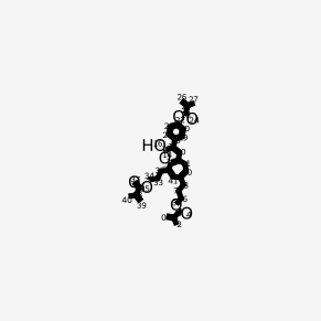 C=C(C)C(=O)OCCCC1=CCC2=C(OC(O)C(c3ccc(OC(=O)C(=C)C)cc3)=C2)C(CCCOC(=O)C(=C)C)=C1